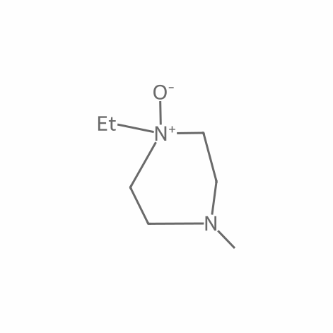 CC[N+]1([O-])CCN(C)CC1